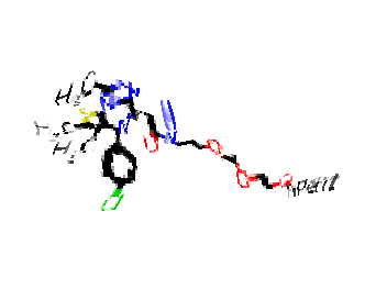 CCCCCOCCOCCOCCCNC(=O)C[C@@H]1N=C(c2ccc(Cl)cc2)c2c(sc(C)c2C)-n2c(C)nnc21